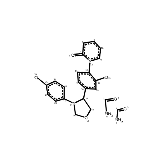 NC=O.NC=O.O=c1ccccn1-c1ccc(C2COCN2c2ccc(Cl)cc2)cc1Cl